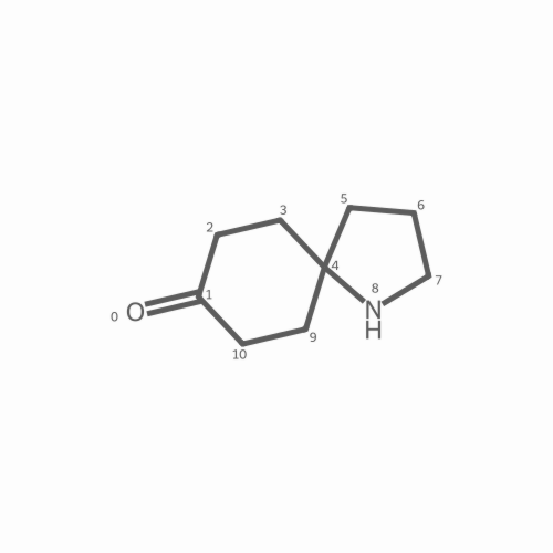 O=C1CCC2(CCCN2)CC1